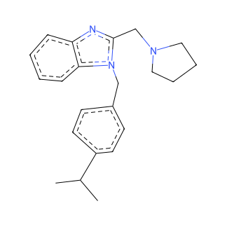 CC(C)c1ccc(Cn2c(CN3CCCC3)nc3ccccc32)cc1